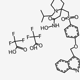 Cc1cc(COc2ccc(S(=O)(=O)CC3(CC(=O)NO)CCCCN3CC(C)C)cc2)c2ccccc2n1.O=C(O)C(F)(F)F.O=C(O)C(F)(F)F